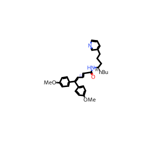 CCCC[C@H](CCCc1cccnc1)NC(=O)/C=C/C=C(c1ccc(OC)cc1)c1ccc(OC)cc1